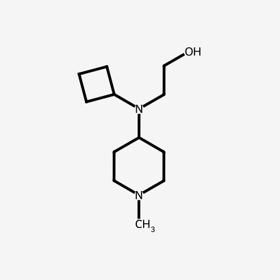 CN1CCC(N(CCO)C2CCC2)CC1